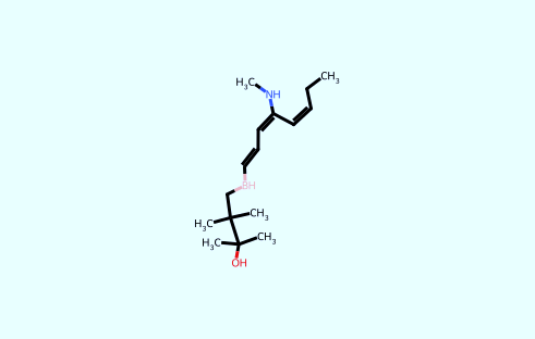 CC\C=C/C(=C\C=C\BCC(C)(C)C(C)(C)O)NC